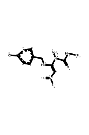 CNC(=O)N(N)C(=C[N+](=O)[O-])NCc1ccc(Cl)nc1